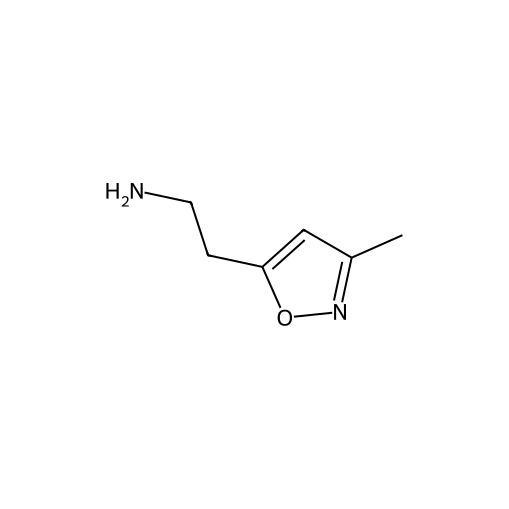 Cc1cc(CCN)on1